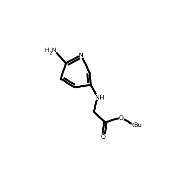 CC(C)(C)OC(=O)CNc1ccc(N)nc1